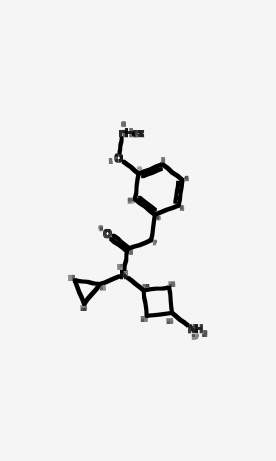 CCCCCCOc1cccc(CC(=O)N(C2CC2)C2CC(N)C2)c1